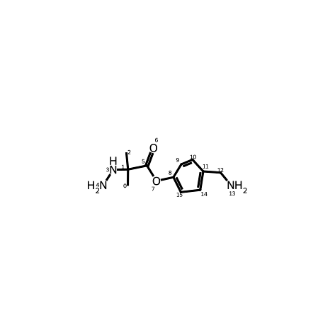 CC(C)(NN)C(=O)Oc1ccc(CN)cc1